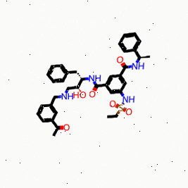 CCS(=O)(=O)Nc1cc(C(=O)N[C@@H](Cc2ccccc2)[C@H](O)CNCc2cccc(C(C)=O)c2)cc(C(=O)N[C@H](C)c2ccccc2)c1